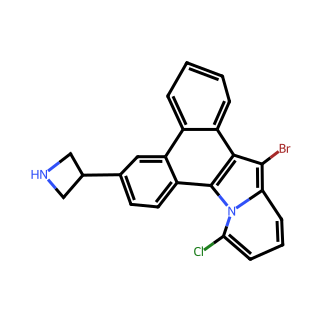 Clc1cccc2c(Br)c3c4ccccc4c4cc(C5CNC5)ccc4c3n12